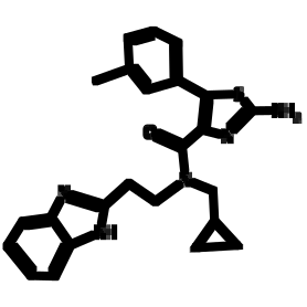 Cc1cccc(-c2sc(N)nc2C(=O)N(CCc2nc3ccccc3[nH]2)CC2CC2)c1